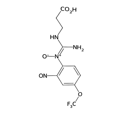 N/C(NCCC(=O)O)=[N+](/[O-])c1ccc(OC(F)(F)F)cc1N=O